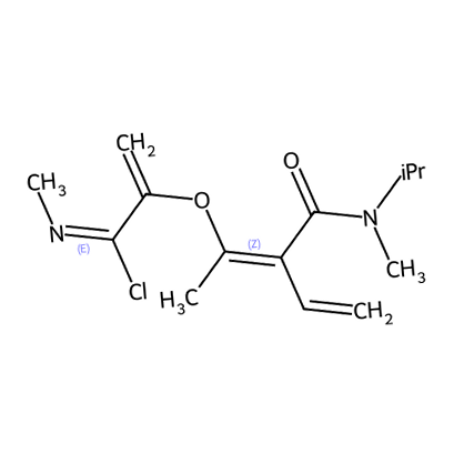 C=C/C(C(=O)N(C)C(C)C)=C(\C)OC(=C)/C(Cl)=N\C